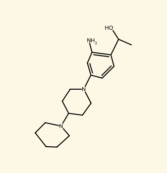 CC(O)c1ccc(N2CCC(N3CCCCC3)CC2)cc1N